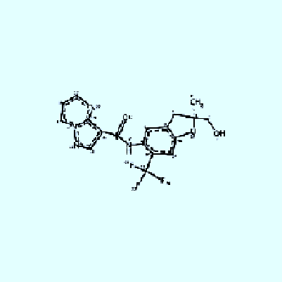 C[C@@]1(CO)Cc2cc(NC(=O)c3cnn4cccnc34)c(C(F)(F)F)cc2O1